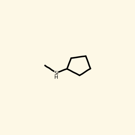 C[SiH]C1CCCC1